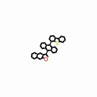 c1ccc2cc3c(-c4c5ccccc5c(-c5cccc6c5sc5ccccc56)c5ccccc45)coc3cc2c1